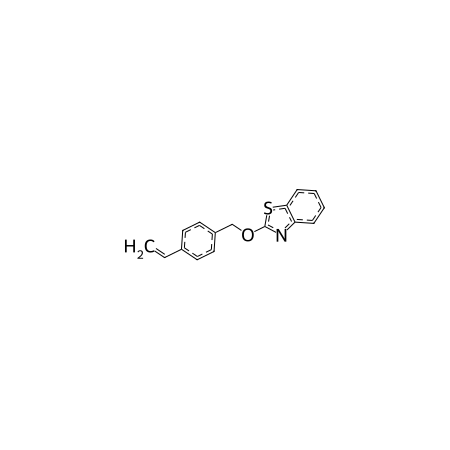 C=Cc1ccc(COc2nc3ccccc3s2)cc1